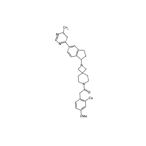 COc1ccc(CC(=O)N2CCC3(CC2)CN(C2CCc4cc(-c5cc(C)ncn5)ccc42)C3)c(C#N)c1